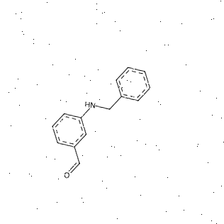 O=Cc1cccc(NCc2ccccc2)c1